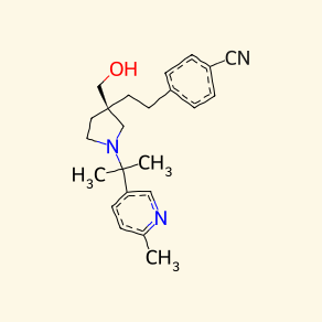 Cc1ccc(C(C)(C)N2CC[C@](CO)(CCc3ccc(C#N)cc3)C2)cn1